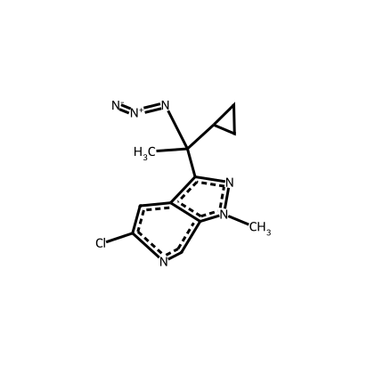 Cn1nc(C(C)(N=[N+]=[N-])C2CC2)c2cc(Cl)ncc21